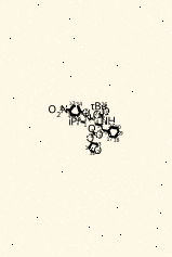 CC(C)CN(C[C@@H](OC(=O)O[C@H]1CCOC1)[C@H](Cc1ccccc1)NC(=O)OC(C)(C)C)Oc1ccc([N+](=O)[O-])cc1